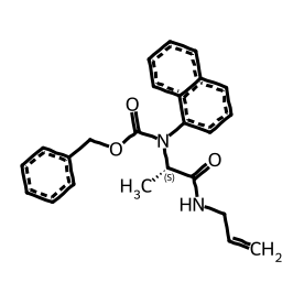 C=CCNC(=O)[C@H](C)N(C(=O)OCc1ccccc1)c1cccc2ccccc12